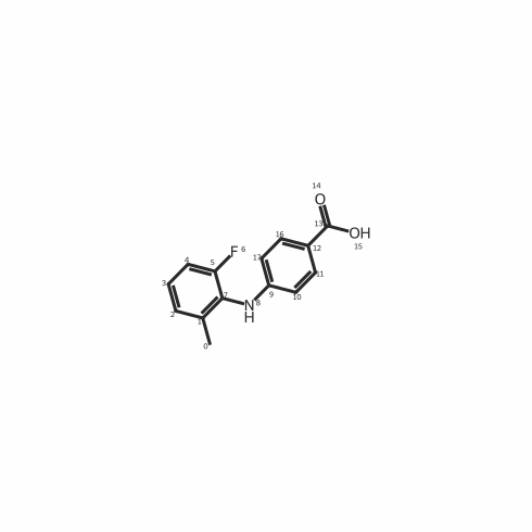 Cc1cccc(F)c1Nc1ccc(C(=O)O)cc1